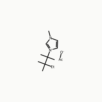 CC(=O)[O-].CCC(C)(C)C(C)(C)[n+]1ccn(C)c1